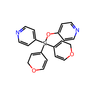 C1=CC([Si](Oc2ccncc2)(C2=CCOC=C2)c2ccncc2)=CCO1